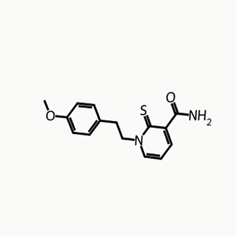 COc1ccc(CCn2cccc(C(N)=O)c2=S)cc1